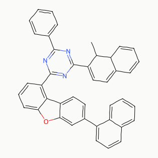 CC1C(c2nc(-c3ccccc3)nc(-c3cccc4oc5cc(-c6cccc7ccccc67)ccc5c34)n2)=CC=C2C=CC=CC21